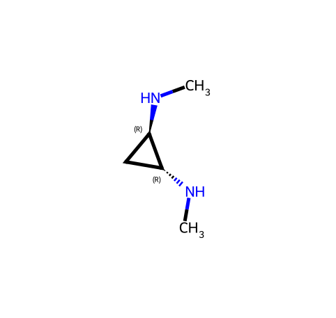 CN[C@@H]1C[C@H]1NC